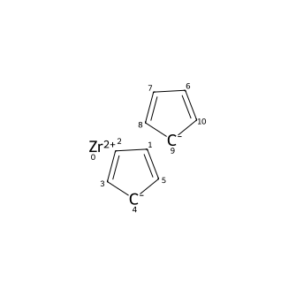 [Zr+2].c1cc[cH-]c1.c1cc[cH-]c1